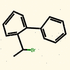 CC(Br)c1ccccc1-c1ccccc1